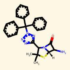 CC1(C)S[C@H]2C(N)C(=O)N2C1c1nnn(C(c2ccccc2)(c2ccccc2)c2ccccc2)n1